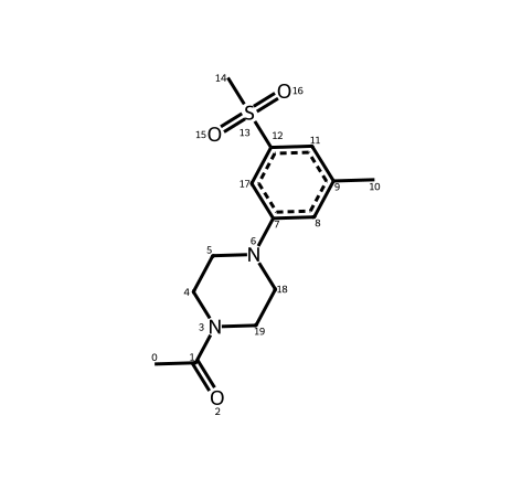 CC(=O)N1CCN(c2cc(C)cc(S(C)(=O)=O)c2)CC1